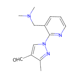 Cc1nn(-c2ncccc2CN(C)C)cc1C=O